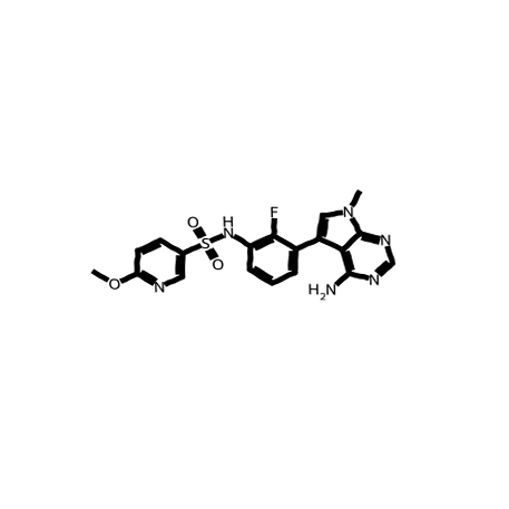 COc1ccc(S(=O)(=O)Nc2cccc(-c3cn(C)c4ncnc(N)c34)c2F)cn1